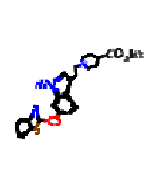 CCOC(=O)C1CCN(CCc2c[nH]c3cc(Oc4nc5ccccc5s4)ccc23)CC1